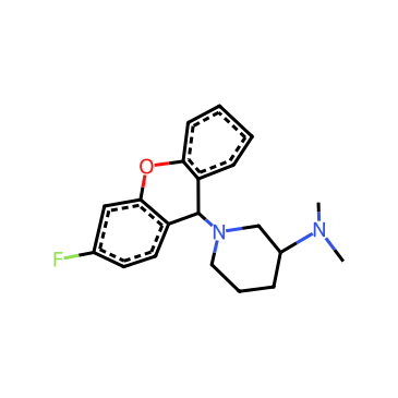 CN(C)C1CCCN(C2c3ccccc3Oc3cc(F)ccc32)C1